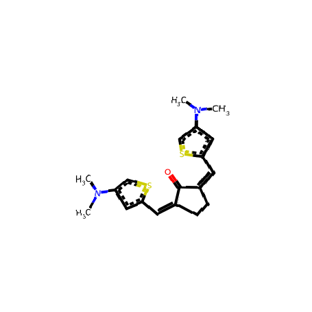 CN(C)c1csc(C=C2CCC(=Cc3cc(N(C)C)cs3)C2=O)c1